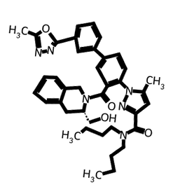 CCCCN(CCCC)C(=O)c1cc(C)n(-c2ccc(-c3cccc(-c4nnc(C)o4)c3)cc2C(=O)N2Cc3ccccc3C[C@H]2CO)n1